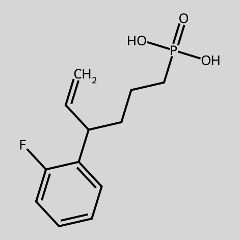 C=CC(CCCP(=O)(O)O)c1ccccc1F